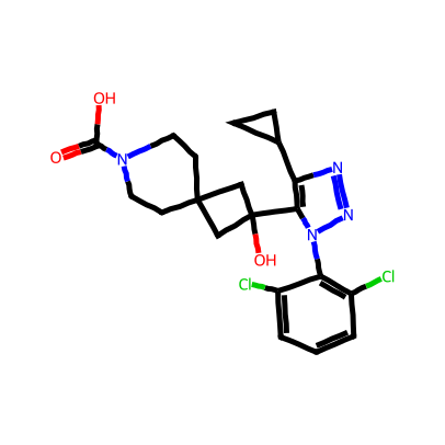 O=C(O)N1CCC2(CC1)CC(O)(c1c(C3CC3)nnn1-c1c(Cl)cccc1Cl)C2